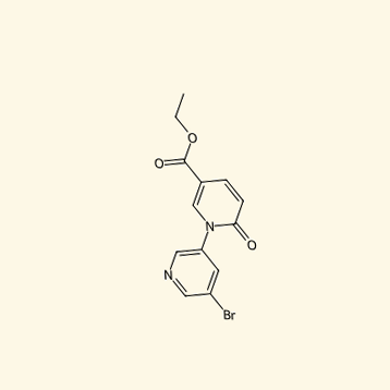 CCOC(=O)c1ccc(=O)n(-c2cncc(Br)c2)c1